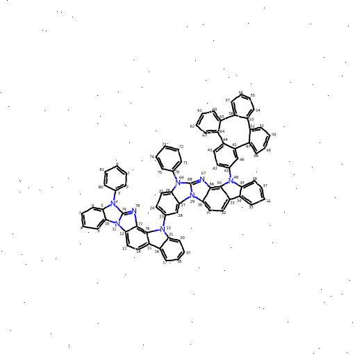 c1ccc(-n2c3ccccc3n3c4ccc5c6ccccc6n(-c6ccc7c(c6)n6c8ccc9c%10ccccc%10n(-c%10ccc%11c(c%10)-c%10ccccc%10-c%10ccccc%10-c%10ccccc%10-%11)c9c8nc6n7-c6ccccc6)c5c4nc23)cc1